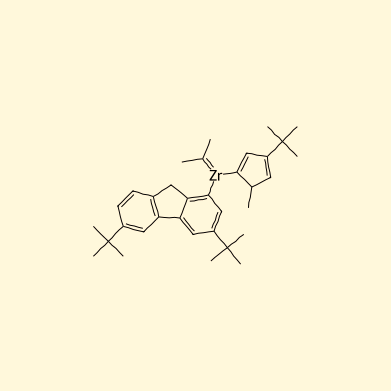 C[C](C)=[Zr]([C]1=CC(C(C)(C)C)=CC1C)[c]1cc(C(C)(C)C)cc2c1Cc1ccc(C(C)(C)C)cc1-2